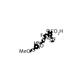 COCCOc1ccc(NC(=O)C2CN(c3nc4c(cc3F)c(=O)c(C(=O)O)cn4-c3nccs3)C2)nc1